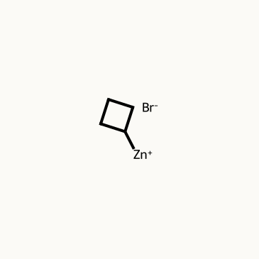 [Br-].[Zn+][CH]1CCC1